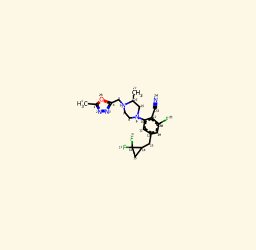 Cc1nnc(CN2CCN(c3cc(CC4CC4(F)F)cc(F)c3C#N)C[C@@H]2C)o1